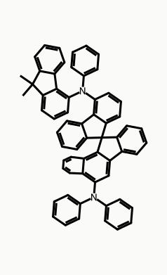 CC1(C)c2ccccc2-c2c(N(c3ccccc3)c3cccc4c3-c3ccccc3C43c4ccccc4-c4cc(N(c5ccccc5)c5ccccc5)c5ccccc5c43)cccc21